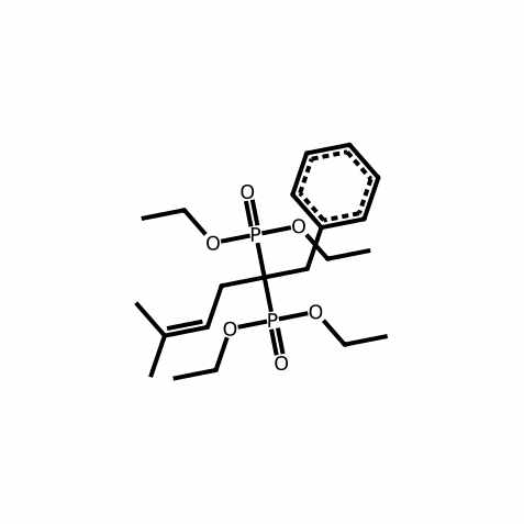 CCOP(=O)(OCC)C(CC=C(C)C)(Cc1ccccc1)P(=O)(OCC)OCC